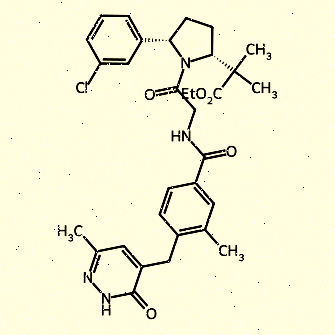 CCOC(=O)C(C)(C)[C@H]1CC[C@@H](c2cccc(Cl)c2)N1C(=O)CNC(=O)c1ccc(Cc2cc(C)n[nH]c2=O)c(C)c1